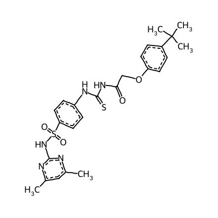 Cc1cc(C)nc(NS(=O)(=O)c2ccc(NC(=S)NC(=O)COc3ccc(C(C)(C)C)cc3)cc2)n1